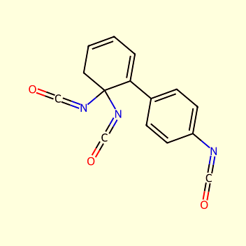 O=C=Nc1ccc(C2=CC=CCC2(N=C=O)N=C=O)cc1